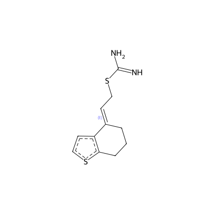 N=C(N)SC/C=C1\CCCc2sccc21